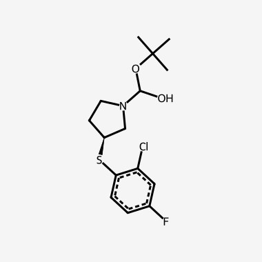 CC(C)(C)OC(O)N1CC[C@H](Sc2ccc(F)cc2Cl)C1